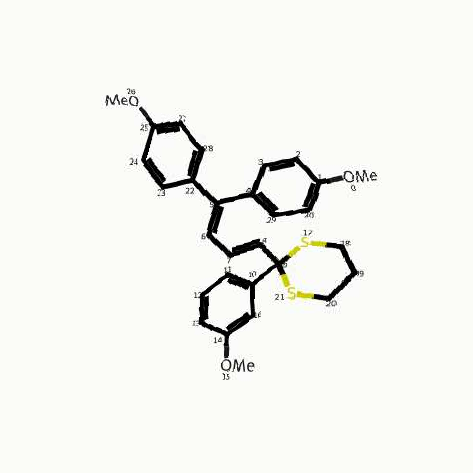 COc1ccc(C(=C/C=C/C2(c3cccc(OC)c3)SCCCS2)c2ccc(OC)cc2)cc1